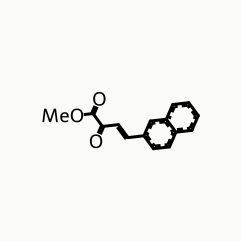 COC(=O)C(=O)C=Cc1ccc2ccccc2c1